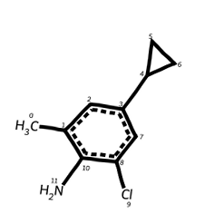 Cc1cc(C2CC2)cc(Cl)c1N